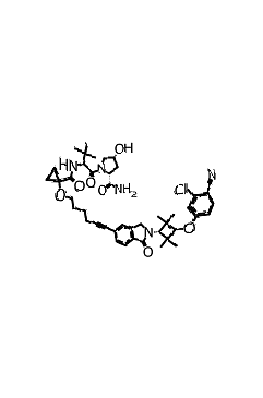 CC(C)(C)[C@H](NC(=O)C1(OCCCCC#Cc2ccc3c(c2)CN([C@H]2C(C)(C)[C@H](Oc4ccc(C#N)c(Cl)c4)C2(C)C)C3=O)CC1)C(=O)N1C[C@H](O)C[C@@H]1C(N)=O